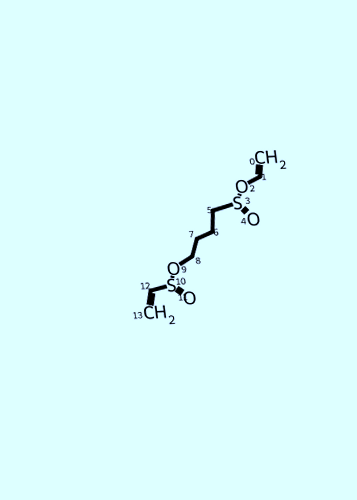 C=COS(=O)CCCCOS(=O)C=C